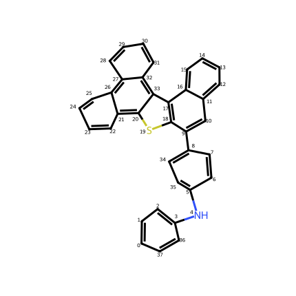 c1ccc(Nc2ccc(-c3cc4ccccc4c4c3sc3c5ccccc5c5ccccc5c34)cc2)cc1